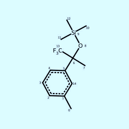 Cc1cccc(C(C)(O[Si](C)(C)C)C(F)(F)F)c1